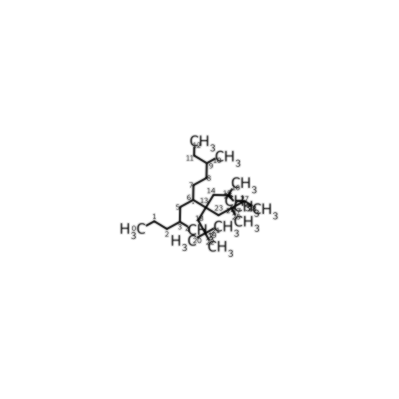 CCCC(C)C[C](CCC(C)CC)C(CC(C)C)(CC(C)(C)C)CC(C)(C)CC